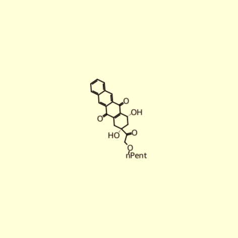 CCCCCOCC(=O)[C@@]1(O)CC2=C(C(=O)c3cc4ccccc4cc3C2=O)[C@H](O)C1